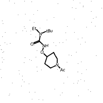 CCN(C(=O)NOC1CCN(C(C)=O)CC1)C(C)(C)C